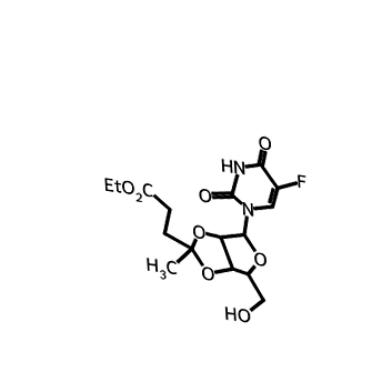 CCOC(=O)CCC1(C)OC2C(CO)OC(n3cc(F)c(=O)[nH]c3=O)C2O1